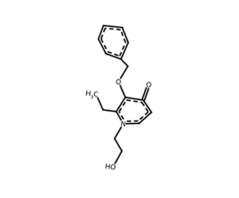 CCc1c(OCc2ccccc2)c(=O)ccn1CCO